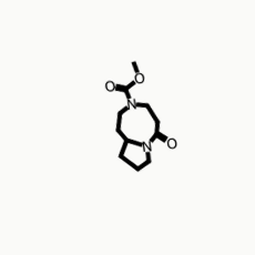 COC(=O)N1CCC(=O)N2CCCC2CC1